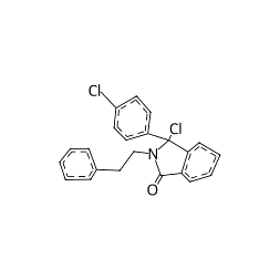 O=C1c2ccccc2C(Cl)(c2ccc(Cl)cc2)N1CCc1ccccc1